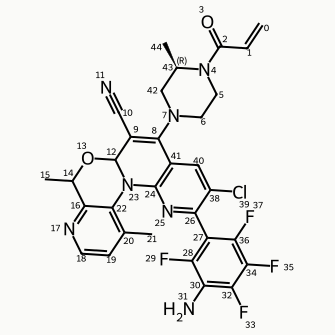 C=CC(=O)N1CCN(C2=C(C#N)C3OC(C)c4nccc(C)c4N3c3nc(-c4c(F)c(N)c(F)c(F)c4F)c(Cl)cc32)C[C@H]1C